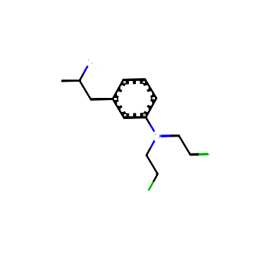 NC(Cc1cccc(N(CCCl)CCCl)c1)C(=O)O